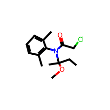 CCC(C)(OC)N(C(=O)CCl)c1c(C)cccc1C